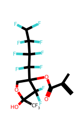 C=C(C)C(=O)OC1(C(F)(F)C(F)(F)C(F)(F)C(F)F)COC(O)(C(F)(F)F)C1(F)F